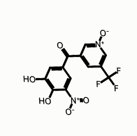 O=C(c1cc(O)c(O)c([N+](=O)[O-])c1)c1cc(C(F)(F)F)c[n+]([O-])c1